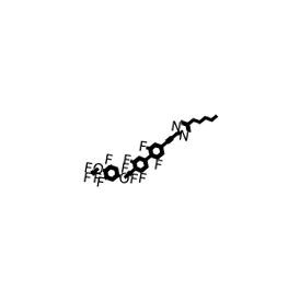 CCCCCc1cnc(C#Cc2cc(F)c(-c3cc(F)c(C(F)(F)Oc4cc(F)c(OC(F)(F)F)c(F)c4)c(F)c3)c(F)c2)nc1